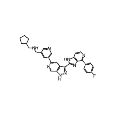 Fc1ccc(-c2nccc3[nH]c(-c4n[nH]c5cnc(-c6cncc(CNCC7CCCC7)c6)cc45)nc23)cc1